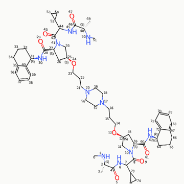 CN[C@@H](C)C(=O)NC(C(=O)N1C[C@@H](OCCCN2CCN(CCCO[C@H]3C[C@@H](C(=O)N[C@@H]4CCCc5ccccc54)N(C(=O)C(NC(=O)[C@H](C)NC)C4CC4)C3)CC2)C[C@H]1C(=O)N[C@@H]1CCCc2ccccc21)C1CC1